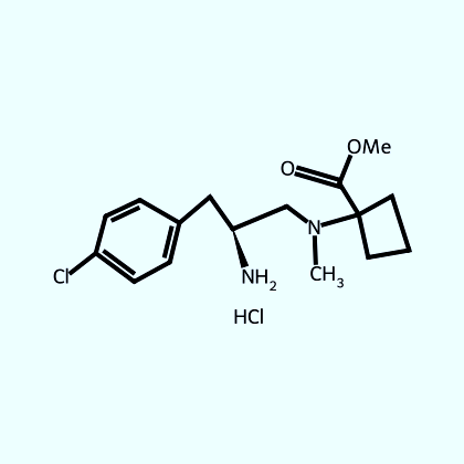 COC(=O)C1(N(C)C[C@@H](N)Cc2ccc(Cl)cc2)CCC1.Cl